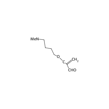 C=C(C=O)COCCCCNC